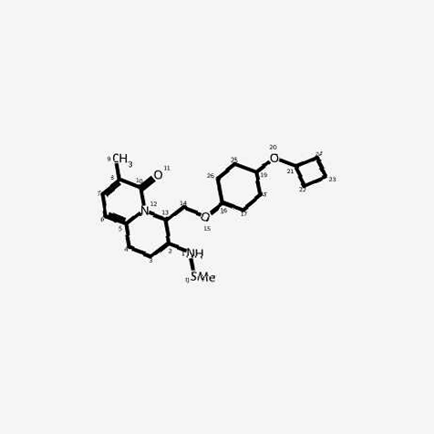 CSNC1CCc2ccc(C)c(=O)n2C1COC1CCC(OC2CCC2)CC1